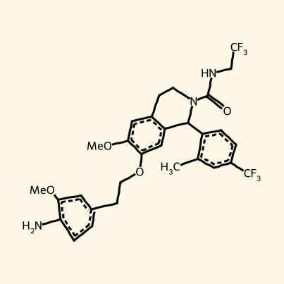 COc1cc(CCOc2cc3c(cc2OC)CCN(C(=O)NCC(F)(F)F)C3c2ccc(C(F)(F)F)cc2C)ccc1N